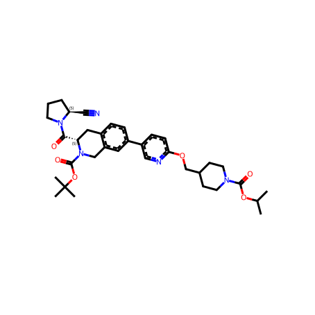 CC(C)OC(=O)N1CCC(COc2ccc(-c3ccc4c(c3)CN(C(=O)OC(C)(C)C)[C@H](C(=O)N3CCC[C@H]3C#N)C4)cn2)CC1